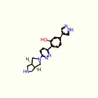 Oc1cc(-c2cn[nH]c2)ccc1-c1ccc(N2C[C@H]3CNC[C@H]3C2)nn1